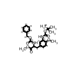 COC(=O)C(Cc1ccc(OC)c(NC(=O)OC(C)(C)C)c1)NC(=O)OCc1ccccc1